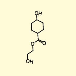 O=C(OCCO)C1CCC(O)CC1